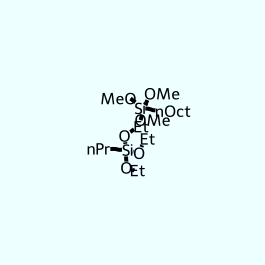 CCCCCCCC[Si](OC)(OC)OC.CCC[Si](OCC)(OCC)OCC